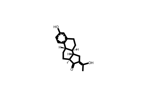 CC(O)=C1C[C@H]2[C@@H]3CCc4cc(O)ccc4[C@H]3CC[C@]2(C)C1=O